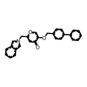 O=c1cc(Cn2cc3ccccc3c2)occ1OCc1ccc(-c2ccccc2)cc1